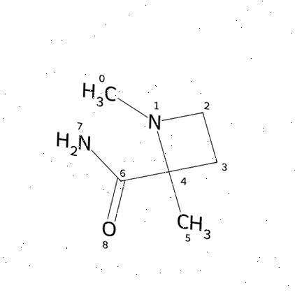 CN1CCC1(C)C(N)=O